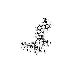 CN1Cc2c(Cl)cc(Cl)cc2C(c2cccc(NC(=O)[C@H](CCCNC(=NC(=O)OC(C)(C)C)NC(=O)OC(C)(C)C)NC(=O)OC(C)(C)C)c2)C1